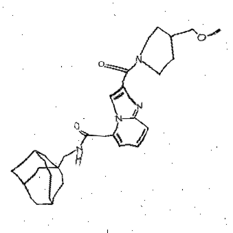 COCC1CCN(C(=O)c2cn3c(C(=O)NCC45CC6CC(CC(C6)C4)C5)cccc3n2)CC1